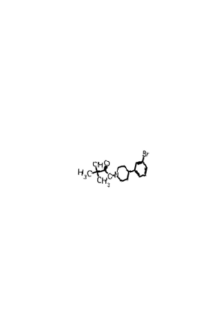 CC(C)(C)C(=O)ON1CCC(c2cccc(Br)c2)CC1